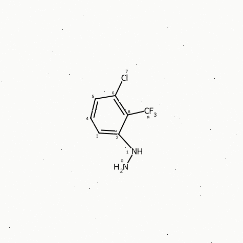 NNc1cccc(Cl)c1C(F)(F)F